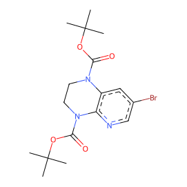 CC(C)(C)OC(=O)N1CCN(C(=O)OC(C)(C)C)c2ncc(Br)cc21